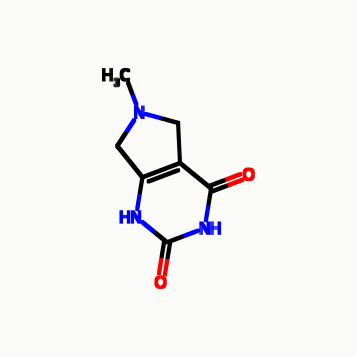 CN1Cc2[nH]c(=O)[nH]c(=O)c2C1